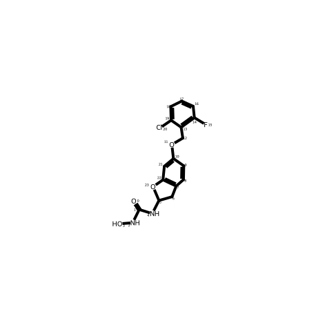 O=C(NO)NC1Cc2ccc(OCc3c(F)cccc3Cl)cc2O1